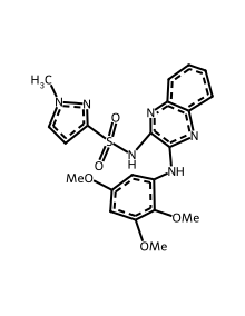 COc1cc(Nc2nc3ccccc3nc2NS(=O)(=O)c2ccn(C)n2)c(OC)c(OC)c1